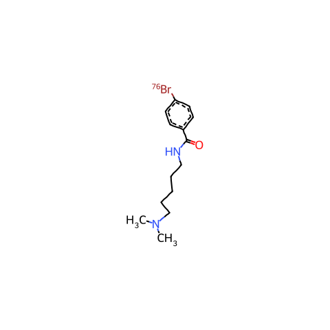 CN(C)CCCCCNC(=O)c1ccc([76Br])cc1